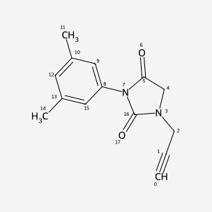 C#CCN1CC(=O)N(c2cc(C)cc(C)c2)C1=O